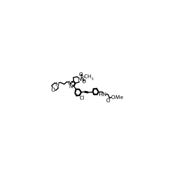 COC(=O)CNCc1ccc(C#Cc2cc(-c3nn(CCCN4CCOCC4)c4c3CN(S(C)(=O)=O)CC4)ccc2Cl)cc1